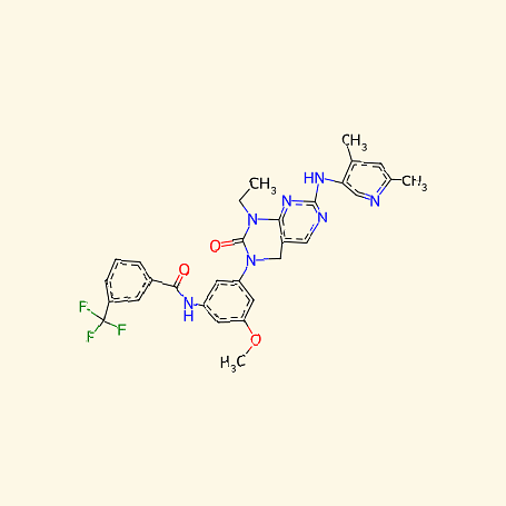 CCN1C(=O)N(c2cc(NC(=O)c3cccc(C(F)(F)F)c3)cc(OC)c2)Cc2cnc(Nc3cnc(C)cc3C)nc21